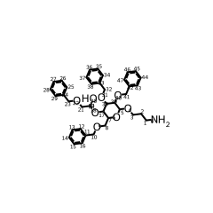 NCCCOC1OC(COCc2ccccc2)C(O[C@H](O)COCc2ccccc2)C(OCc2ccccc2)C1OCc1ccccc1